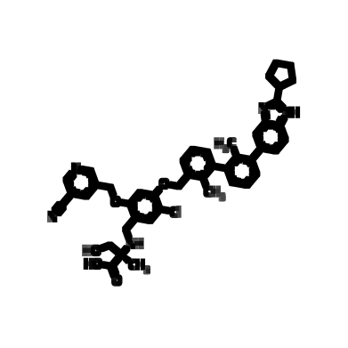 Cc1c(COc2cc(OCc3cncc(C#N)c3)c(CN[C@@](C)(CO)C(=O)O)cc2Cl)cccc1-c1cccc(-c2ccc3[nH]c(C4CCCC4)nc3c2)c1C